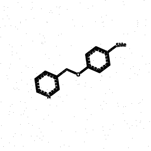 CSc1ccc(OCc2cccnc2)cc1